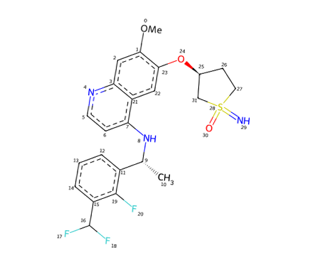 COc1cc2nccc(N[C@H](C)c3cccc(C(F)F)c3F)c2cc1O[C@H]1CCS(=N)(=O)C1